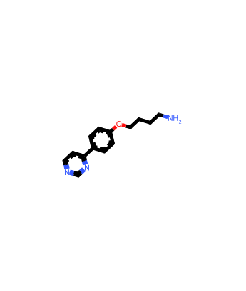 NCCCCOc1ccc(-c2ccncn2)cc1